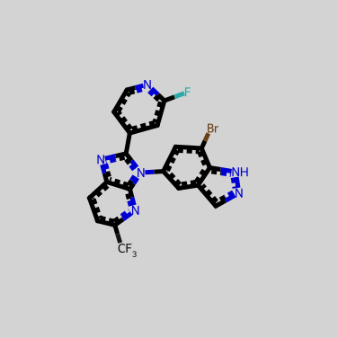 Fc1cc(-c2nc3ccc(C(F)(F)F)nc3n2-c2cc(Br)c3[nH]ncc3c2)ccn1